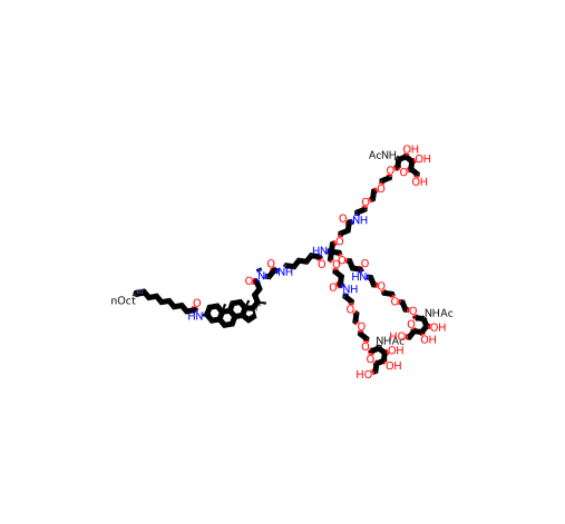 CCCCCCCC/C=C\CCCCCCCC(=O)N[C@H]1CC[C@@]2(C)C(CCC3C2CC[C@@]2(C)C3CC[C@@H]2[C@H](C)CCC(=O)N(C)CC(=O)NCCCCCC(=O)NC(COCCC(=O)NCCOCCOCCOC2OC(CO)C(O)C(O)C2NC(C)=O)(COCCC(=O)NCCOCCOCCOC2OC(CO)C(O)C(O)C2NC(C)=O)COCCC(=O)NCCOCCOCCOC2OC(CO)C(O)C(O)C2NC(C)=O)C1